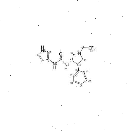 O=C(Nc1cc[nH]n1)N[C@@H]1CN(CC(F)(F)F)C[C@H]1c1ccccn1